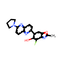 Cc1nc2c(F)c(O)c(-c3ccc4nc(N5CCCC5)ccc4n3)cc2o1